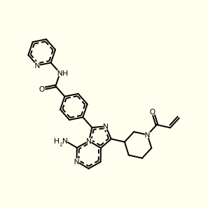 C=CC(=O)N1CCCC(c2nc(-c3ccc(C(=O)Nc4ccccn4)cc3)n3c(N)nccc23)C1